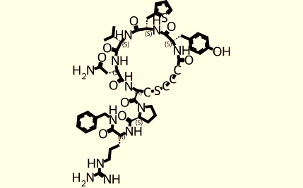 CC(C)[C@@H]1NC(=O)[C@H](Cc2cccs2)NC(=O)[C@H](Cc2ccc(O)cc2)NC(=O)CCCSC[C@@H](C(=O)N2CCC[C@H]2C(=O)N[C@H](CCCNC(=N)N)C(=O)NCc2ccccc2)NC(=O)[C@H](CC(N)=O)NC1=O